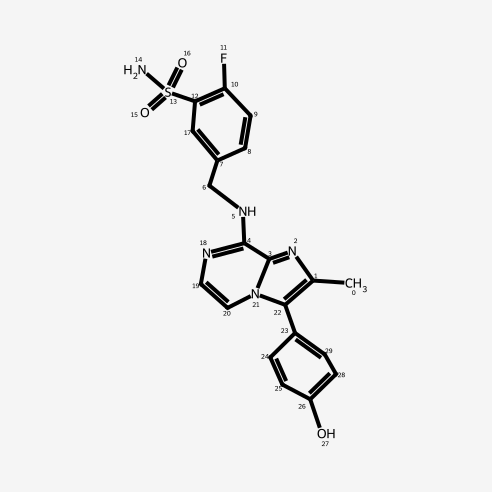 Cc1nc2c(NCc3ccc(F)c(S(N)(=O)=O)c3)nccn2c1-c1ccc(O)cc1